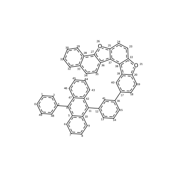 c1ccc(-c2c3ccccc3c(-c3cccc(-c4ccc5oc6ccc7oc8c9ccccc9ccc8c7c6c5c4)c3)c3ccccc23)cc1